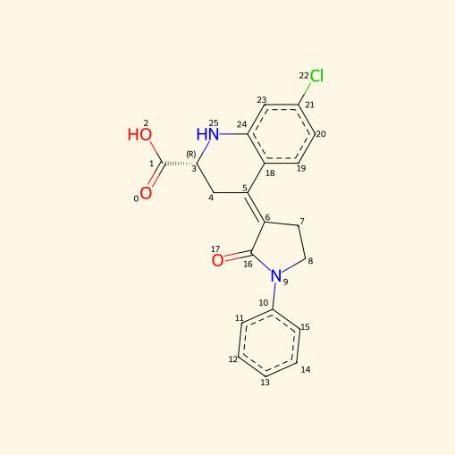 O=C(O)[C@H]1CC(=C2CCN(c3ccccc3)C2=O)c2ccc(Cl)cc2N1